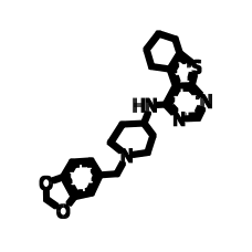 c1nc(NC2CCN(Cc3ccc4c(c3)OCO4)CC2)c2c3c(sc2n1)CCCC3